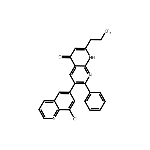 O=c1cc(CCC(F)(F)F)[nH]c2nc(-c3ccccc3)c(-c3cc(Cl)c4ncccc4c3)cc12